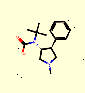 CN1C[C@H](c2ccccc2)[C@@H](N(C(=O)O)C(C)(C)C)C1